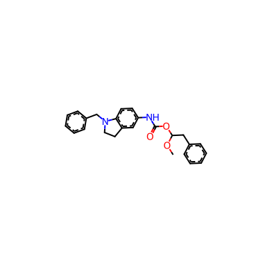 COC(Cc1ccccc1)OC(=O)Nc1ccc2c(c1)CCN2Cc1ccccc1